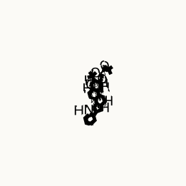 CC1(C)OC1[C@H]1O[C@H]2[C@H]3C[C@@]34[C@H](CC[C@@]3(C)[C@@]4(O)CC[C@H]4Cc5c([nH]c6ccccc56)[C@@]43C)O[C@@H]2C(C)(C)O1